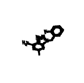 Cc1nc(N)c2nnn(Cc3ccccc3F)c2n1